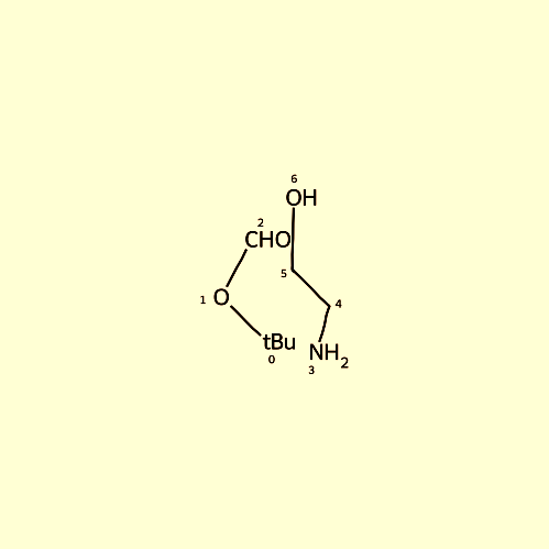 CC(C)(C)OC=O.NCCO